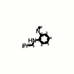 C=Nc1ccccc1NCC(C)C